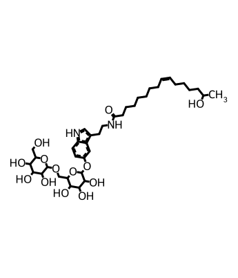 CC(O)CCCC/C=C\CCCCCCCC(=O)NCCc1c[nH]c2ccc(OC3OC(COC4OC(CO)C(O)C(O)C4O)C(O)C(O)C3O)cc12